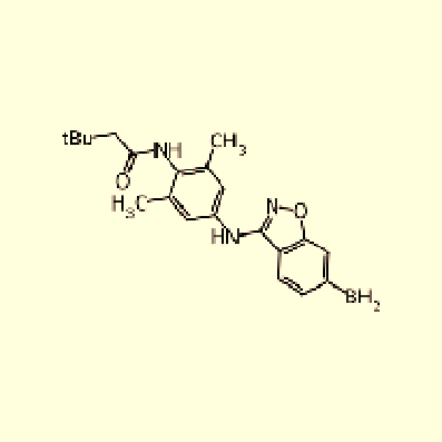 Bc1ccc2c(Nc3cc(C)c(NC(=O)CC(C)(C)C)c(C)c3)noc2c1